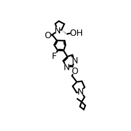 CC1(CN2CCC(COc3ncc(-c4ccc(C(=O)N5CCC[C@@H]5CO)cc4F)cn3)CC2)CCC1